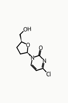 O=c1nc(Cl)ccn1[C@H]1CC[C@@H](CO)O1